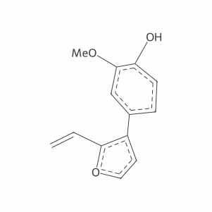 C=Cc1occc1-c1ccc(O)c(OC)c1